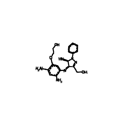 N=C1C(=Nc2cc(OCCO)c(N)cc2N)C(CO)=NN1c1ccccc1